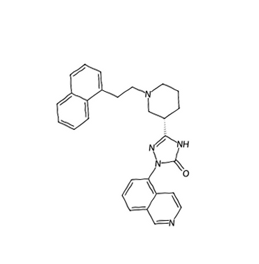 O=c1[nH]c([C@H]2CCCN(CCc3cccc4ccccc34)C2)nn1-c1cccc2cnccc12